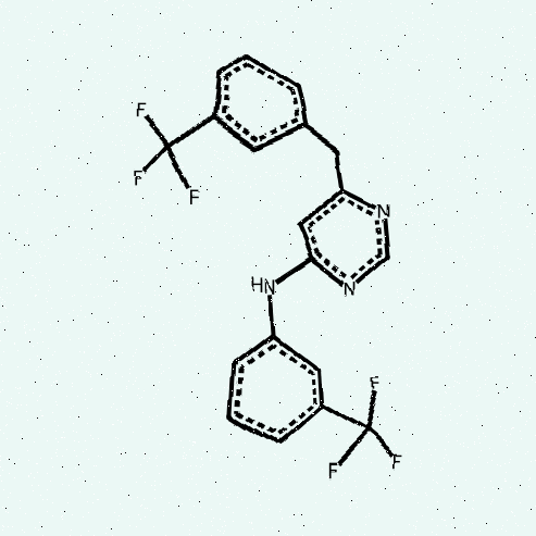 FC(F)(F)c1cccc(Cc2cc(Nc3cccc(C(F)(F)F)c3)ncn2)c1